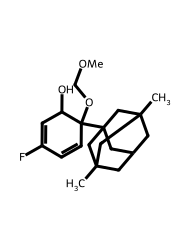 COCOC1(C23CC4CC(C)(CC(C)(C4)C2)C3)C=CC(F)=CC1O